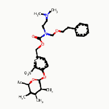 CC(=O)C1OC(Oc2ccc(COC(=O)N(CCN(C)C)COCCc3ccccc3)cc2[N+](=O)[O-])[C@@H](C)[C@@H](C)C1C